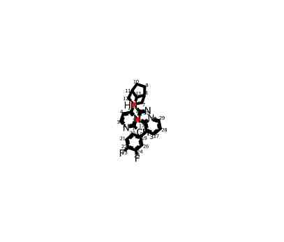 Cc1nccc(N2CC3CCC(C2)C3Nc2nc3c(-c4ccc(F)c(F)c4)cccn3n2)n1